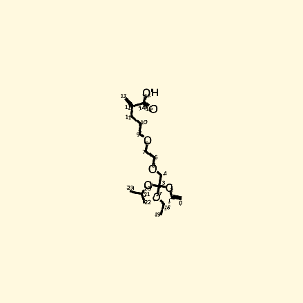 C=COC(COCCOCCCC(=C)C(=O)O)(OCC)OC(C)C